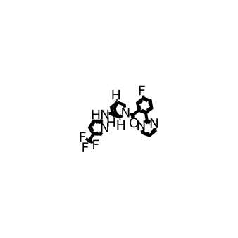 O=C(c1cc(F)ccc1-c1ncccn1)N1C[C@@H]2CC[C@H]1[C@H](Nc1ccc(C(F)(F)F)cn1)C2